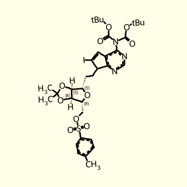 Cc1ccc(S(=O)(=O)OC[C@H]2O[C@@H](CCC3C(I)=Cc4c3ncnc4N(C(=O)OC(C)(C)C)C(=O)OC(C)(C)C)[C@@H]3OC(C)(C)O[C@@H]32)cc1